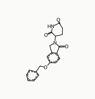 O=C1CCC(N2Cc3cc(OCc4ccccc4)ccc3C2=O)C(=O)N1